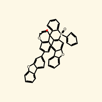 O=P1(c2ccccc2)c2ccccc2C2(c3ccccc3Oc3cc(-c4ccc5c(c4)oc4ccccc45)ccc32)c2cc3c(cc21)oc1ccccc13